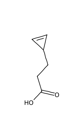 O=C(O)CCC1C=C1